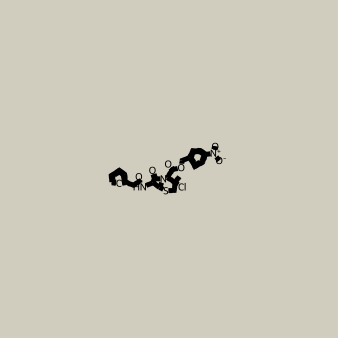 CC1(Cl)CSC2C(NC(=O)Cc3ccccc3)C(=O)N2C1C(=O)OCc1ccc([N+](=O)[O-])cc1